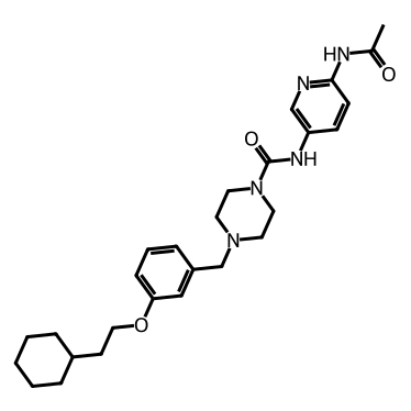 CC(=O)Nc1ccc(NC(=O)N2CCN(Cc3cccc(OCCC4CCCCC4)c3)CC2)cn1